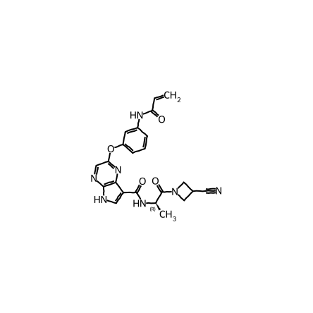 C=CC(=O)Nc1cccc(Oc2cnc3[nH]cc(C(=O)N[C@H](C)C(=O)N4CC(C#N)C4)c3n2)c1